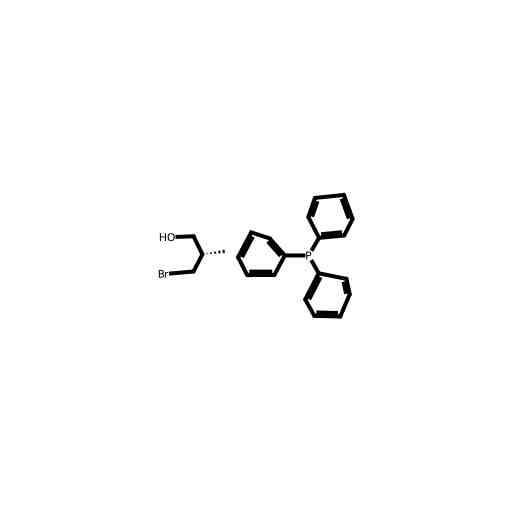 C[C@@H](CO)CBr.c1ccc(P(c2ccccc2)c2ccccc2)cc1